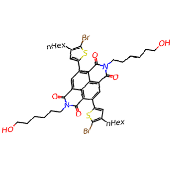 CCCCCCc1cc(-c2cc3c4c(c(-c5cc(CCCCCC)c(Br)s5)cc5c4c2C(=O)N(CCCCCCO)C5=O)C(=O)N(CCCCCCO)C3=O)sc1Br